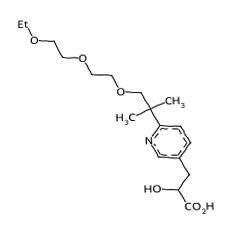 CCOCCOCCOCC(C)(C)c1ccc(CC(O)C(=O)O)cn1